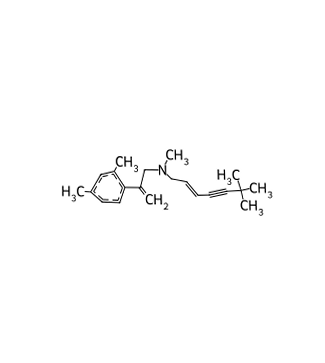 C=C(CN(C)CC=CC#CC(C)(C)C)c1ccc(C)cc1C